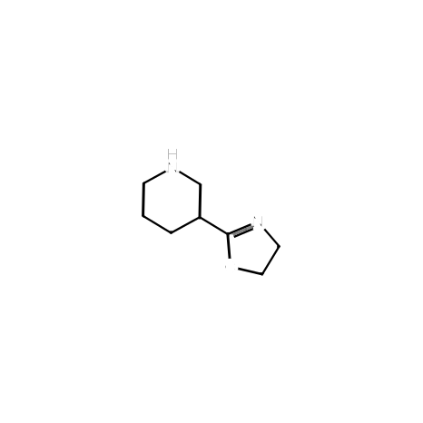 C1CNCC(C2=NCCO2)C1